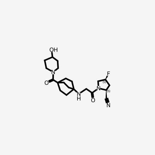 N#C[C@@H]1C[C@H](F)CN1C(=O)CNC12CCC(C(=O)N3CCC(O)CC3)(CC1)CC2